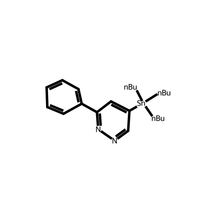 CCC[CH2][Sn]([CH2]CCC)([CH2]CCC)[c]1cnnc(-c2ccccc2)c1